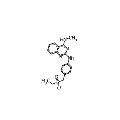 CCS(=O)(=O)Cc1ccc(Nc2nc(NC)c3ccccc3n2)cc1